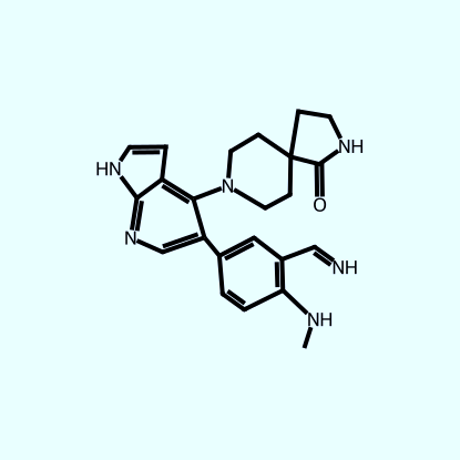 CNc1ccc(-c2cnc3[nH]ccc3c2N2CCC3(CCNC3=O)CC2)cc1C=N